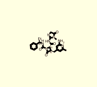 CC[C@@H](NC(=O)N1C(=O)[C@H](Cc2cc(C)nc(N)c2)[C@H]1C(=O)NC1=NCC(=O)N1C)c1ccccc1